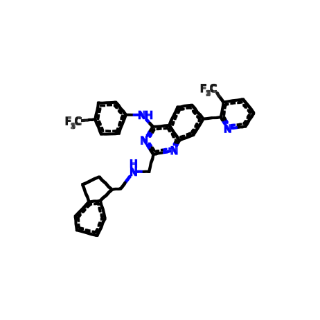 FC(F)(F)c1ccc(Nc2nc(CNCC3CCc4ccccc43)nc3cc(-c4ncccc4C(F)(F)F)ccc23)cc1